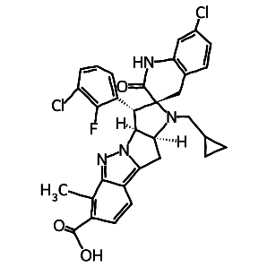 Cc1c(C(=O)O)ccc2c3n(nc12)[C@@H]1[C@H](C3)N(CC2CC2)[C@]2(Cc3ccc(Cl)cc3NC2=O)[C@H]1c1cccc(Cl)c1F